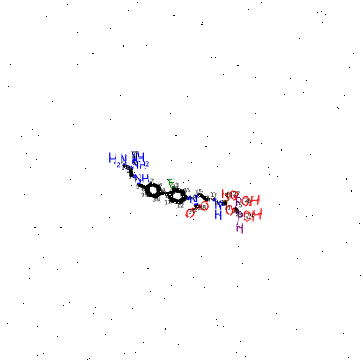 N/C=C(/CNCc1ccc(-c2ccc(N3C[C@H](CNC(=S)OC(PO)P(O)O)OC3=O)cc2F)cc1)NN